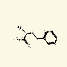 CN(C[CH]c1ccccc1)C(N)=O